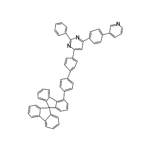 c1ccc(-c2nc(-c3ccc(-c4ccc(-c5cccc6c5-c5ccccc5C65c6ccccc6-c6ccccc65)cc4)cc3)cc(-c3ccc(-c4cccnc4)cc3)n2)cc1